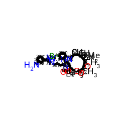 B[C@@H]1[C@@H](C)C(=O)[C@@H](C)C(=O)O[C@H](CC)[C@@]2(C)OC(=O)N(CCCCn3cc(-c4cccc(N)c4)nn3)[C@@H]2[C@@H](Cc2cccc(Br)c2)NC[C@H](C)C[C@@]1(C)OC